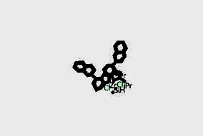 CC(C)CC1=Cc2c(-c3ccc4ccccc4c3)cccc2[CH]1[Zr]([Cl])([Cl])([CH]1C(CC(C)C)=Cc2c(-c3ccc4ccccc4c3)cccc21)[SiH](C)C